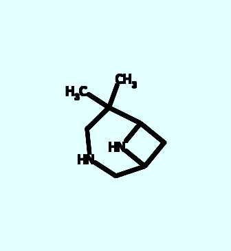 CC1(C)CNCC2CC1N2